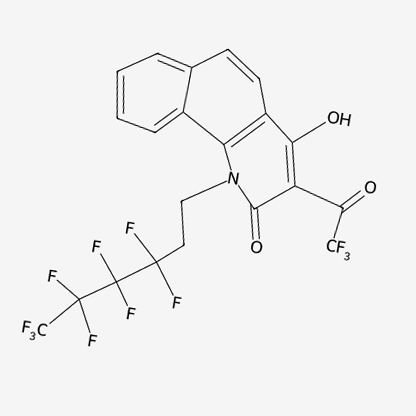 O=C(c1c(O)c2ccc3ccccc3c2n(CCC(F)(F)C(F)(F)C(F)(F)C(F)(F)F)c1=O)C(F)(F)F